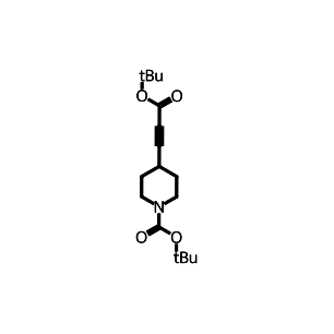 CC(C)(C)OC(=O)C#CC1CCN(C(=O)OC(C)(C)C)CC1